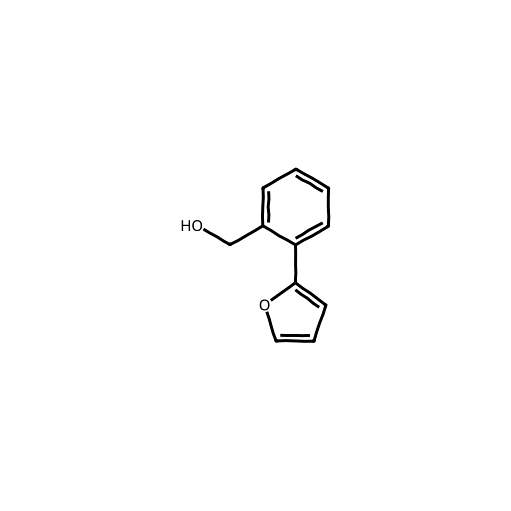 OCc1ccccc1-c1ccco1